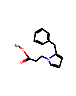 CC(C)(C)OC(=O)CCn1cccc1Cc1ccccc1